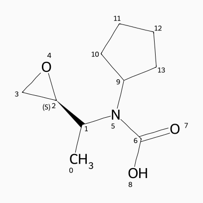 CC([C@H]1CO1)N(C(=O)O)C1CCCC1